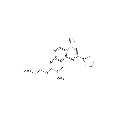 COCCOc1cc2ncc3c(N)nc(N4CCCC4)nc3c2cc1OC